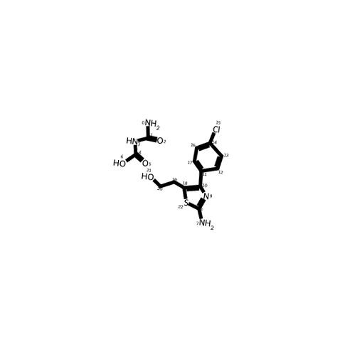 NC(=O)NC(=O)O.Nc1nc(-c2ccc(Cl)cc2)c(CCO)s1